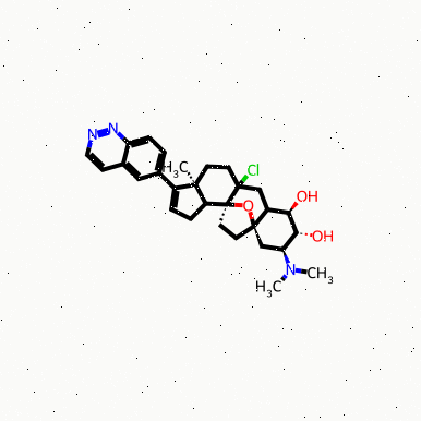 CN(C)[C@H]1C[C@@]23CC[C@]4(O2)C2CC=C(c5ccc6nnccc6c5)[C@@]2(C)CCC4(Cl)CC3[C@@H](O)[C@@H]1O